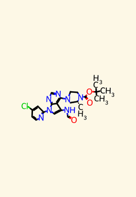 C[C@@H]1CN(c2ncnc3c2c(NC=O)cn3-c2cc(Cl)ccn2)CCN1C(=O)OC(C)(C)C